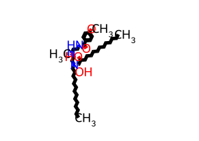 CCCCCCCCCCCCC(O)CN(CCN(C)CCNC(=O)c1ccc(OC)cc1)CC(O)CCCCCCCCCCCC